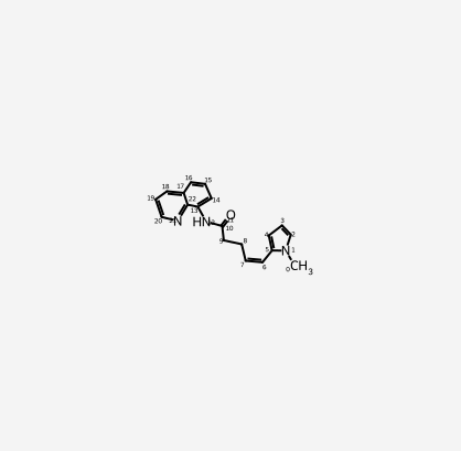 Cn1cccc1/C=C\CCC(=O)Nc1cccc2cccnc12